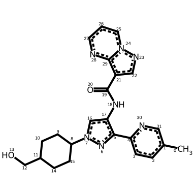 Cc1ccc(-c2nn(C3CCC(CO)CC3)cc2NC(=O)c2cnn3cccnc23)nc1